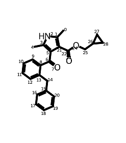 Cc1[nH]c(C)c(C(=O)c2ccccc2Cc2ccccc2)c1C(=O)OCC1CC1